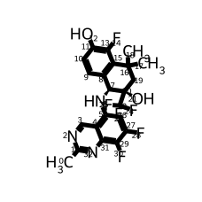 Cc1ncc2c(N[C@H]3c4ccc(O)c(F)c4C(C)(C)C[C@]3(O)C(F)(F)F)cc(F)c(F)c2n1